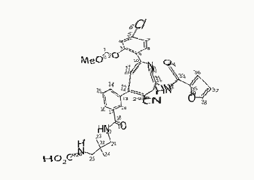 COCOc1cc(Cl)ccc1-c1cc(-c2cccc(C(=O)NCC(C)(C)CNC(=O)O)c2)c(C#N)c(NC(=O)c2ccco2)n1